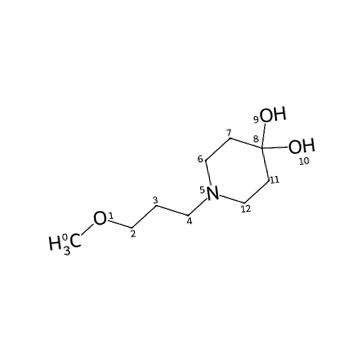 COCCCN1CCC(O)(O)CC1